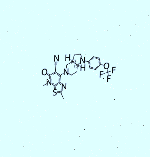 Cc1nc2c(N3CC[C@H]4[C@H](CCN4c4ccc(OC(F)(F)F)cc4)C3)c(C#N)c(=O)n(C)c2s1